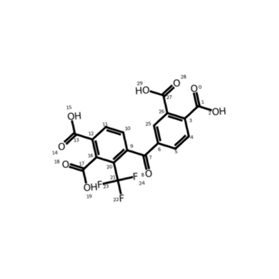 O=C(O)c1ccc(C(=O)c2ccc(C(=O)O)c(C(=O)O)c2C(F)(F)F)cc1C(=O)O